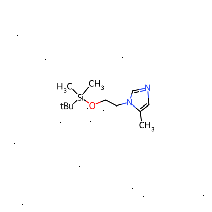 Cc1cncn1CCO[Si](C)(C)C(C)(C)C